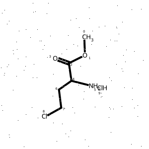 COC(=O)C(N)CCCl.Cl